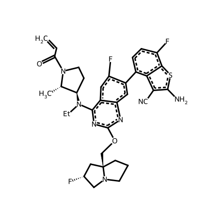 C=CC(=O)N1CC[C@@H](N(CC)c2nc(OC[C@@]34CCCN3C[C@H](F)C4)nc3cc(-c4ccc(F)c5sc(N)c(C#N)c45)c(F)cc23)[C@@H]1C